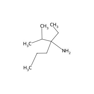 CCCC(N)(CC)C(C)C